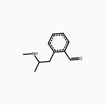 CNC(C)Cc1ccccc1C=O